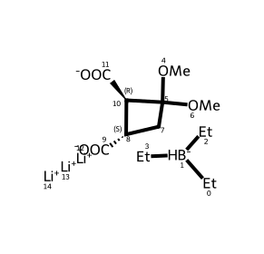 CC[BH-](CC)CC.COC1(OC)C[C@H](C(=O)[O-])[C@H]1C(=O)[O-].[Li+].[Li+].[Li+]